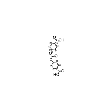 O=C(Oc1ccc(C(=O)O)cc1)Oc1ccc(C(=O)O)cc1